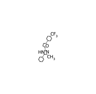 Cc1nc(-c2ccc(-c3ccc(C(F)(F)F)cc3)o2)[nH]c1-c1ccccc1